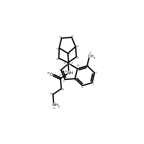 Cc1cccc2ccn(C3C4CCC3CC(NC(=O)CCN)C4)c12